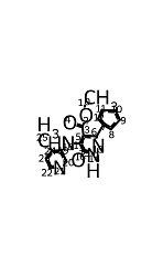 CCOC(=O)c1c(-c2ccccc2)n[nH]c(=O)c1Nc1cnccc1C